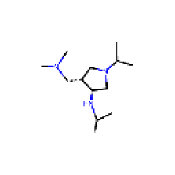 CC(C)N[C@@H]1CN(C(C)C)C[C@H]1CN(C)C